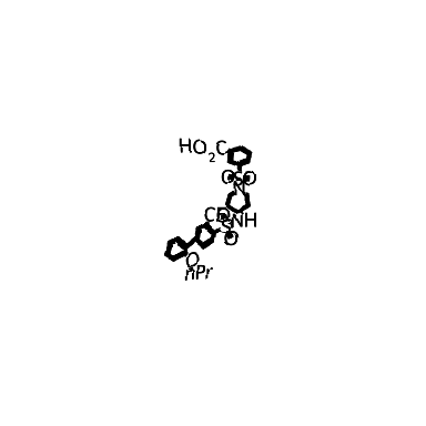 CCCOc1ccccc1-c1ccc(S(=O)(=O)NC2CCN(S(=O)(=O)c3cccc(C(=O)O)c3)CC2)c(C(F)(F)F)c1